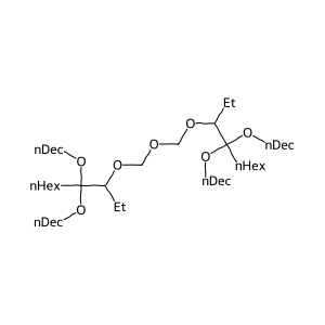 CCCCCCCCCCOC(CCCCCC)(OCCCCCCCCCC)C(CC)OCOCOC(CC)C(CCCCCC)(OCCCCCCCCCC)OCCCCCCCCCC